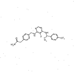 CC(Nc1ncnc(NCc2ccc(CC(N)=O)cc2)c1F)c1ccc(C(F)(F)F)cc1